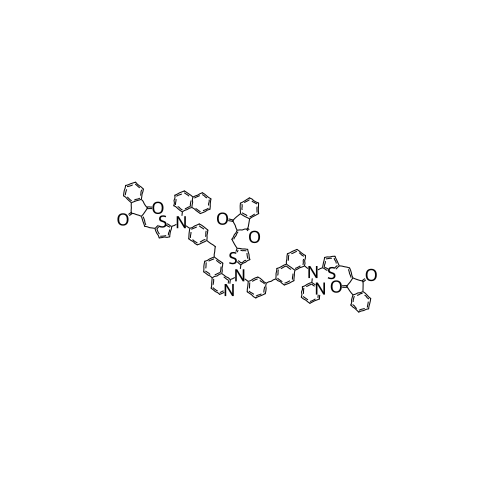 O=C1C(=Cc2ccc(N(c3ccc(Cc4ccc5ccnc(N(c6cccc(-c7ccc8c(N(c9ccccn9)c9ccc(C=C%10C(=O)c%11ccccc%11C%10=O)s9)cccc8c7)c6)c6ccc(C=C7C(=O)c8ccccc8C7=O)s6)c5c4)cc3)c3cccc4ccccc34)s2)C(=O)c2ccccc21